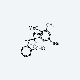 CCCCCC(C)(Pc1ccccc1C=O)c1cc(C(C)(C)C)cc(C)c1OC